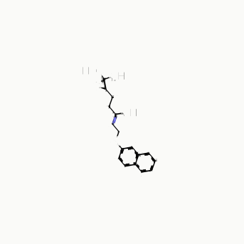 C/C(=C\CSc1ccc2ccccc2c1)CCC1OC1(C)C